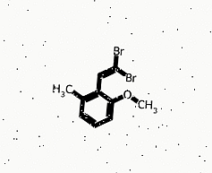 COc1cccc(C)c1C=C(Br)Br